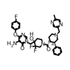 Cc1cnc(CN2CC[C@@H](C(=O)N3CC[C@](O)(Cn4cnc(Oc5ccc(F)cc5)c(N)c4=O)C(F)(F)C3)[C@H](c3ccccc3)C2)cn1